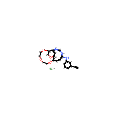 C#Cc1cccc(Nc2ccc3c4cc(ncn2)C(CO4)OCCOCCO3)c1.Cl